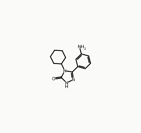 Nc1cccc(-c2n[nH]c(=O)n2C2CCCCC2)c1